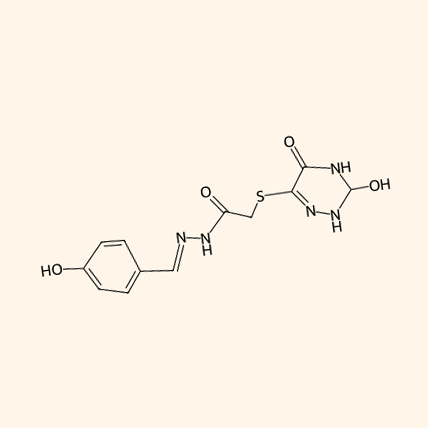 O=C(CSC1=NNC(O)NC1=O)N/N=C/c1ccc(O)cc1